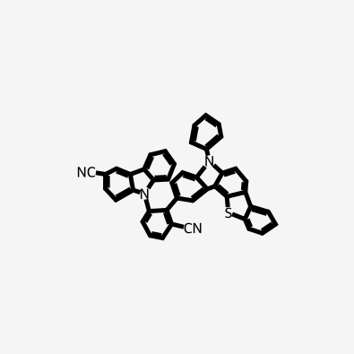 N#Cc1ccc2c(c1)c1ccccc1n2-c1cccc(C#N)c1-c1ccc2c(c1)c1c3sc4ccccc4c3ccc1n2-c1ccccc1